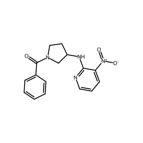 O=C(c1ccccc1)N1CCC(Nc2ncccc2[N+](=O)[O-])C1